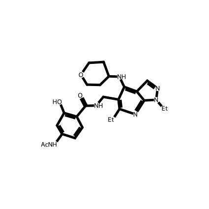 CCc1nc2c(cnn2CC)c(NC2CCOCC2)c1CNC(=O)c1ccc(NC(C)=O)cc1O